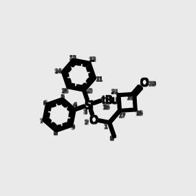 CC(O[Si](c1ccccc1)(c1ccccc1)C(C)(C)C)C1CC(=O)C1